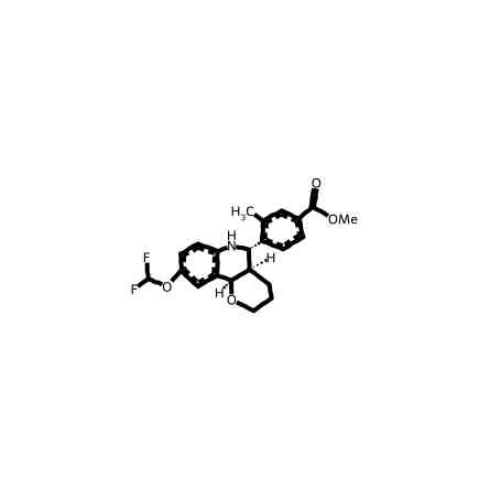 COC(=O)c1ccc([C@H]2Nc3ccc(OC(F)F)cc3[C@@H]3OCCC[C@H]23)c(C)c1